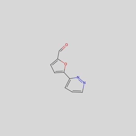 O=Cc1ccc(-c2cccnn2)o1